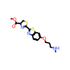 CNCCCOc1ccc2nc(C3=NC(C(=O)OC)CS3)sc2c1